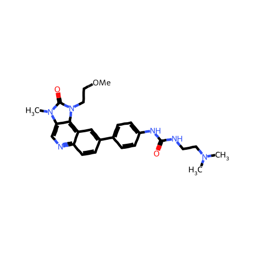 COCCn1c(=O)n(C)c2cnc3ccc(-c4ccc(NC(=O)NCCN(C)C)cc4)cc3c21